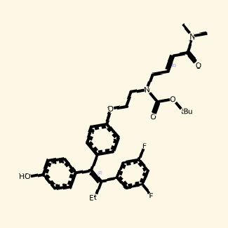 CC/C(=C(\c1ccc(O)cc1)c1ccc(OCCN(C/C=C/C(=O)N(C)C)C(=O)OC(C)(C)C)cc1)c1cc(F)cc(F)c1